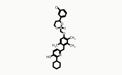 Cc1cc(OCP2(=O)OCCC(c3cccc(Cl)c3)O2)c(C)c(C)c1Cc1ccc(O)c(C2CCCCC2)n1